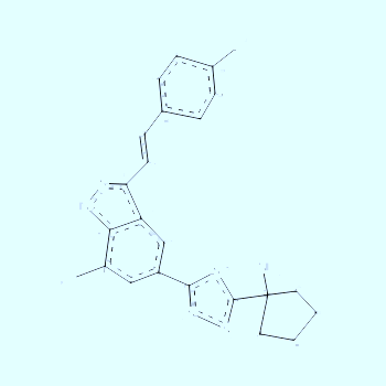 NC1(c2nnc(-c3cc(F)c4[nH]nc(C=Cc5ccc(F)cc5)c4c3)[nH]2)CCCC1